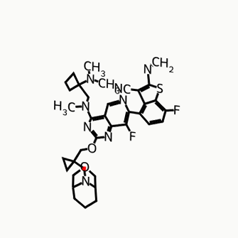 C=Nc1sc2c(F)ccc(-c3ncc4c(N(C)CC5(N(C)C)CCC5)nc(OCC5(CN6C7CCCC6COC7)CC5)nc4c3F)c2c1C#N